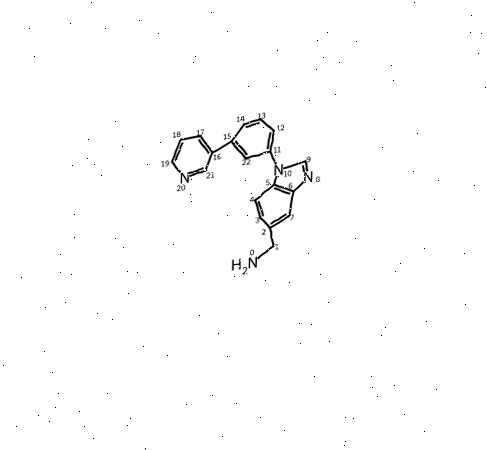 NCc1ccc2c(c1)ncn2-c1cccc(-c2cccnc2)c1